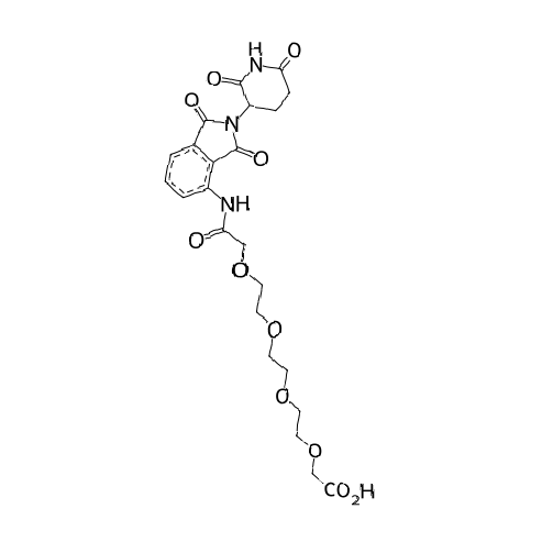 O=C(O)COCCOCCOCCOCC(=O)Nc1cccc2c1C(=O)N(C1CCC(=O)NC1=O)C2=O